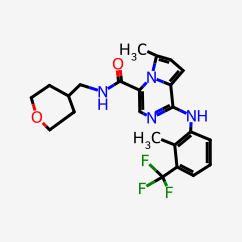 Cc1c(Nc2ncc(C(=O)NCC3CCOCC3)n3c(C)ccc23)cccc1C(F)(F)F